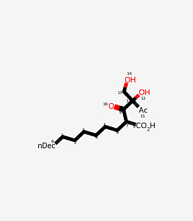 CCCCCCCCCCCCCCCCC(C(=O)O)C(=O)C(O)(CO)C(C)=O